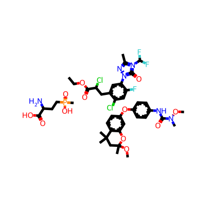 CCOC(=O)C(Cl)Cc1cc(-n2nc(C)n(C(F)F)c2=O)c(F)cc1Cl.CON(C)C(=O)Nc1ccc(Oc2ccc3c(c2)OC(C)(OC)CC3(C)C)cc1.CP(=O)(O)CCC(N)C(=O)O